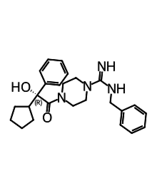 N=C(NCc1ccccc1)N1CCN(C(=O)[C@](O)(c2ccccc2)C2CCCC2)CC1